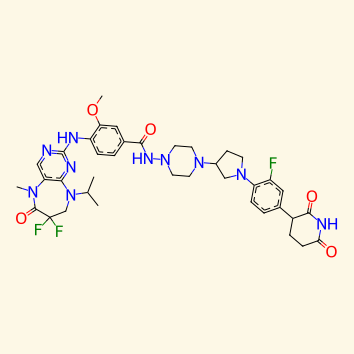 COc1cc(C(=O)NN2CCN(C3CCN(c4ccc(C5CCC(=O)NC5=O)cc4F)C3)CC2)ccc1Nc1ncc2c(n1)N(C(C)C)CC(F)(F)C(=O)N2C